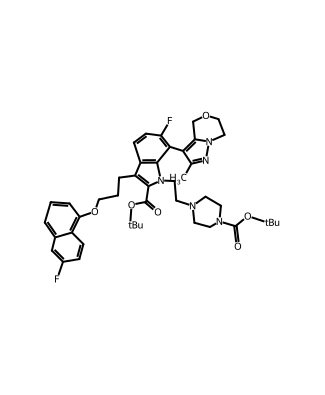 Cc1nn2c(c1-c1c(F)ccc3c(CCCOc4cccc5cc(F)ccc45)c(C(=O)OC(C)(C)C)n(CCN4CCN(C(=O)OC(C)(C)C)CC4)c13)COCC2